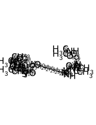 CC(C)NC(=O)O[C@@H]1CC[C@H](c2cc(NC(=O)c3cnn(CCCCCCCCCCCOc4cccc(C(=O)c5csc([C@@H]6CCCN6C(=O)[C@@H](NC(=O)[C@H](C)N(C)C(=O)OC(C)(C)C)C6CCCCC6)n5)c4)c3)n(C(C)(C)C)n2)C1